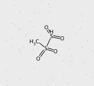 CS(=O)(=O)[SH](=O)=O